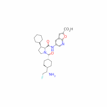 N[C@H](CF)[C@H]1CC[C@H](C(=O)N2CC[C@@H](C3CCCCC3)[C@H]2C(=O)Nc2cnc3oc(C(=O)O)cc3c2)CC1